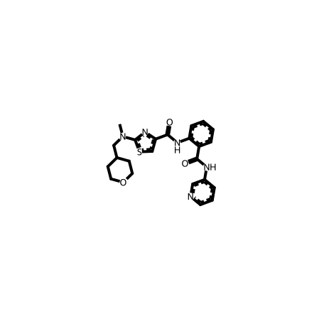 CN(CC1CCOCC1)c1nc(C(=O)Nc2ccccc2C(=O)Nc2cccnc2)cs1